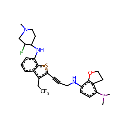 CN1CCC(Nc2cccc3c(CC(F)(F)F)c(C#CCNc4ccc(P(C)C)c5c4OCC5)sc23)C(F)C1